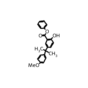 COc1ccc(C(C)(C)c2ccc(O)c(C(=O)Oc3ccccc3)c2)cc1